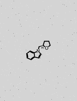 [c]1cn(C[C@H]2CCCO2)c2ccccc12